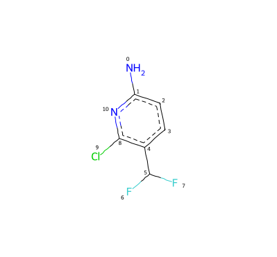 Nc1ccc(C(F)F)c(Cl)n1